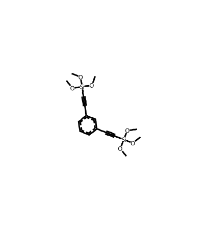 CO[Si](C#Cc1cccc(C#C[Si](OC)(OC)OC)c1)(OC)OC